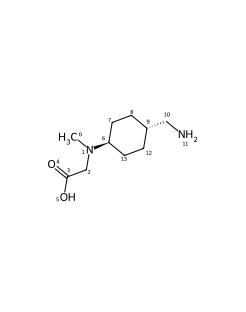 CN(CC(=O)O)[C@H]1CC[C@H](CN)CC1